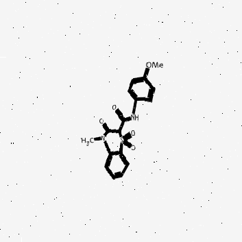 COc1ccc(NC(=O)C2C(=O)N(C)c3ccccc3S2(=O)=O)cc1